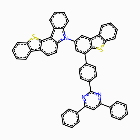 c1ccc(-c2cc(-c3ccccc3)nc(-c3ccc(-c4cc(-n5c6ccccc6c6c7sc8ccccc8c7ccc65)cc5c4sc4ccccc45)cc3)n2)cc1